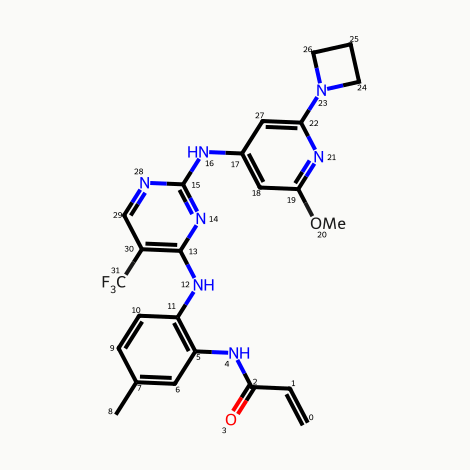 C=CC(=O)Nc1cc(C)ccc1Nc1nc(Nc2cc(OC)nc(N3CCC3)c2)ncc1C(F)(F)F